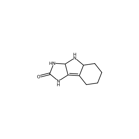 O=C1NC2=C3CCCCC3NC2N1